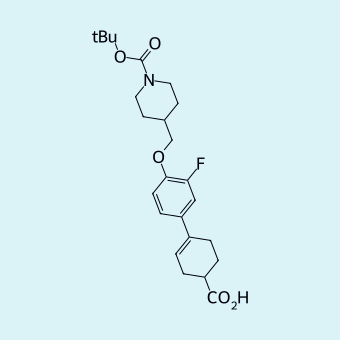 CC(C)(C)OC(=O)N1CCC(COc2ccc(C3=CCC(C(=O)O)CC3)cc2F)CC1